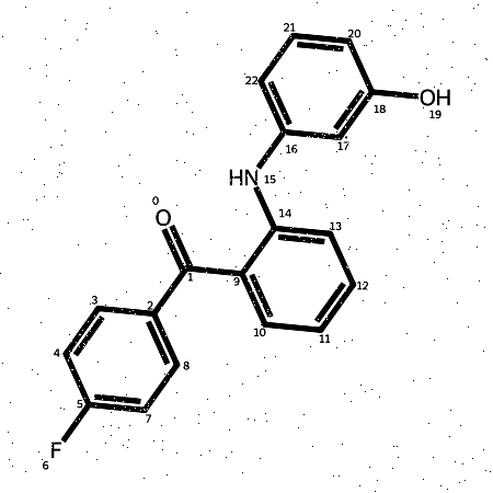 O=C(c1ccc(F)cc1)c1ccccc1Nc1[c]c(O)ccc1